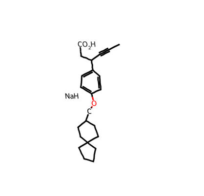 CC#CC(CC(=O)O)c1ccc(OCC2CCC3(CCCC3)CC2)cc1.[NaH]